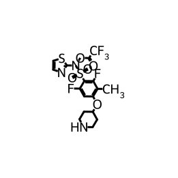 Cc1c(OC2CCNCC2)cc(F)c(S(=O)(=O)N(OC(=O)C(F)(F)F)c2nccs2)c1F